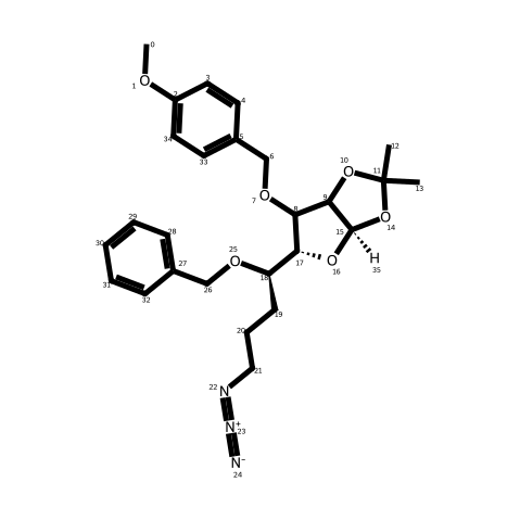 COc1ccc(COC2C3OC(C)(C)O[C@H]3O[C@@H]2[C@@H](CCCN=[N+]=[N-])OCc2ccccc2)cc1